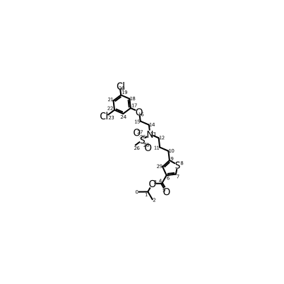 CC(C)OC(=O)c1csc(CCCN(CCOc2cc(Cl)cc(Cl)c2)S(C)(=O)=O)c1